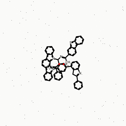 C=C(c1ccccc1)C(C)C(/N=C(\C)c1ccc2c(c1)sc1ccccc12)n1c2ccccc2c2ccc3c4ccccc4n(-c4ccc(-c5cccc6c5CC(c5ccccc5)=N6)cc4)c3c21